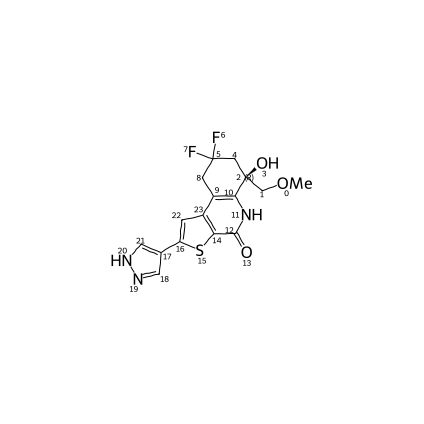 COC[C@@]1(O)CC(F)(F)Cc2c1[nH]c(=O)c1sc(-c3cn[nH]c3)cc21